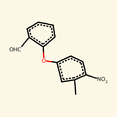 Cc1cc(Oc2ccccc2C=O)ccc1[N+](=O)[O-]